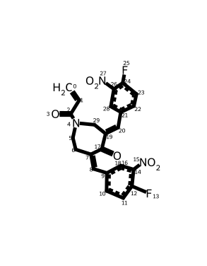 C=CC(=O)N1CC/C(=C/c2ccc(F)c([N+](=O)[O-])c2)C(=O)/C(=C/c2ccc(F)c([N+](=O)[O-])c2)C1